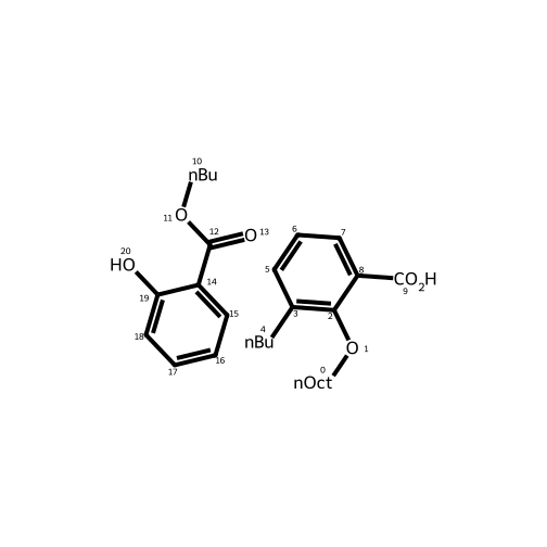 CCCCCCCCOc1c(CCCC)cccc1C(=O)O.CCCCOC(=O)c1ccccc1O